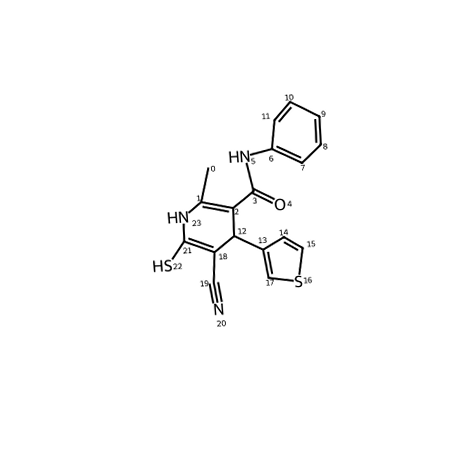 CC1=C(C(=O)Nc2ccccc2)C(c2ccsc2)C(C#N)=C(S)N1